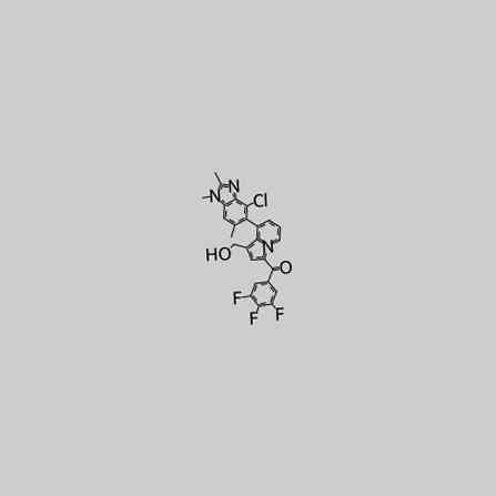 Cc1cc2c(nc(C)n2C)c(Cl)c1-c1cccn2c(C(=O)c3cc(F)c(F)c(F)c3)cc(CO)c12